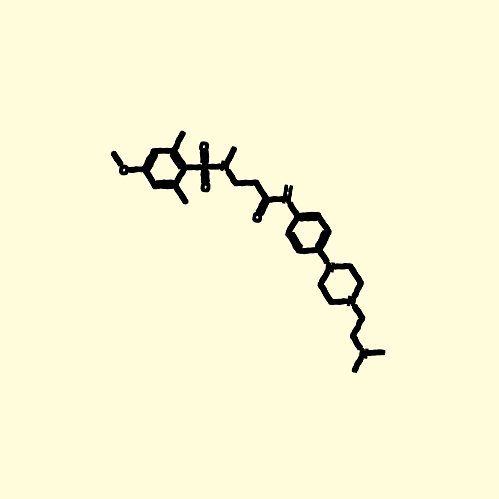 COc1cc(C)c(S(=O)(=O)N(C)CCC(=O)Nc2ccc(N3CCN(CCN(C)C)CC3)cc2)c(C)c1